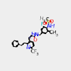 Cc1cc(CNC(=O)/C=C\c2ccc(C(F)(F)F)nc2CCc2ccccc2)cc(F)c1NS(C)(=O)=O